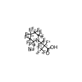 O=C(O)C(F)(C(F)(F)F)C(F)(F)N1C(F)(F)C(F)(F)C(F)(F)C(F)(F)C1(F)F.[Na]